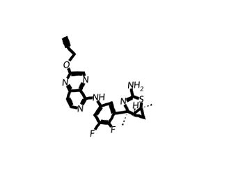 C#CCOc1cnc2c(Nc3cc(F)c(F)c([C@@]4(C)N=C(N)S[C@@]5(C)C[C@H]54)c3)nccc2n1